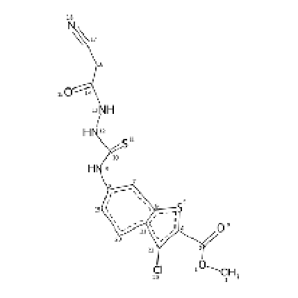 COC(=O)c1sc2cc(NC(=S)NNC(=O)CC#N)ccc2c1Cl